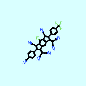 N#CC(C#N)=C1C(c2ccc(C#N)cc2)=C(C#N)c2c1cc1c(c2F)C(C#N)=C(c2ccc(C(F)(F)F)cc2)C1=C(C#N)C#N